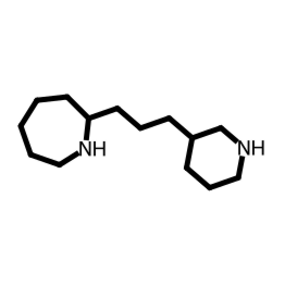 C1CCNC(CCCC2CCCNC2)CC1